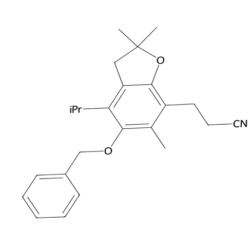 Cc1c(CCC#N)c2c(c(C(C)C)c1OCc1ccccc1)CC(C)(C)O2